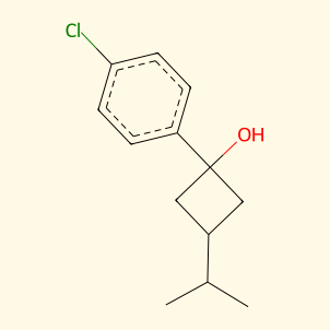 CC(C)C1CC(O)(c2ccc(Cl)cc2)C1